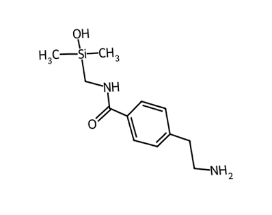 C[Si](C)(O)CNC(=O)c1ccc(CCN)cc1